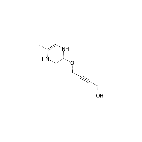 CC1=CNC(OCC#CCO)CN1